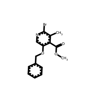 COC(=O)c1c(OCc2ccccc2)cnc(Br)c1C